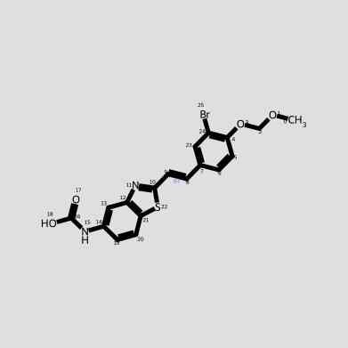 COCOc1ccc(/C=C/c2nc3cc(NC(=O)O)ccc3s2)cc1Br